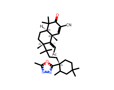 CC(=O)/C=C1/[C@@]2(C)C=C(C#N)C(=O)C(C)(C)[C@@H]2CC[C@@]1(C)C(C)(C)CC[C@@]1(c2nnc(C)o2)CCC(C)(C)CC1C